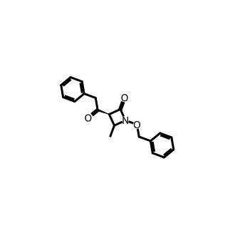 CC1[C@@H](C(=O)Cc2ccccc2)C(=O)N1OCc1ccccc1